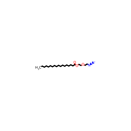 CCCCCCCCCCCCCCCCCC(=O)OCCOCCN=[N+]=[N-]